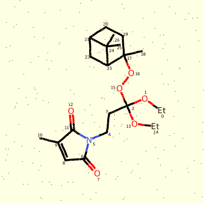 CCOC(CCN1C(=O)C=C(C)C1=O)(OCC)OOC1(C)CCC2CC1C2(C)C